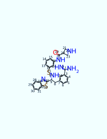 N=C(N)c1cccc(CC(NSc2cccc(NC(=O)C3CNC3)c2)c2nc3ccccc3s2)c1